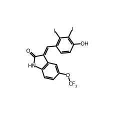 O=C1Nc2ccc(OC(F)(F)F)cc2C1=Cc1ccc(O)c(I)c1I